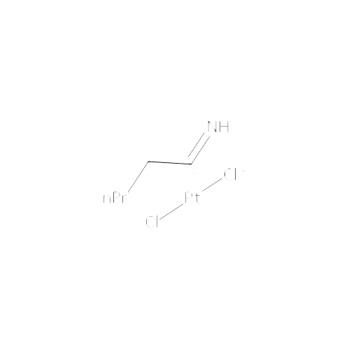 CCCCC=N.[Cl][Pt][Cl]